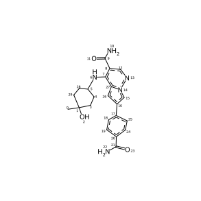 CC1(O)CCC(Nc2c(C(N)=O)cnn3cc(-c4ccc(C(N)=O)cc4)cc23)CC1